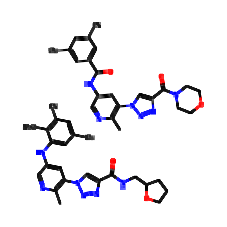 COc1c(C#N)cc(C(C)(C)C)cc1Nc1cnc(C)c(-n2cc(C(=O)NCC3CCCO3)nn2)c1.Cc1ncc(NC(=O)c2cc(C#N)cc(C(C)(C)C)c2)cc1-n1cc(C(=O)N2CCOCC2)nn1